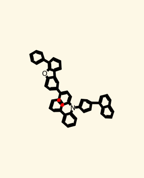 c1ccc(-c2ccccc2N(c2ccc(-c3ccc4oc5c(-c6ccccc6)cccc5c4c3)cc2)c2ccc(-c3cccc4ccccc34)cc2)cc1